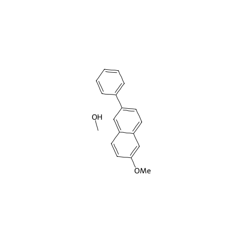 CO.COc1ccc2cc(-c3ccccc3)ccc2c1